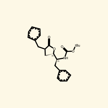 CC(C)(C)OC(=O)N[C@@H](Cc1ccccc1)[C@@H]1CC(Cc2ccccc2)C(=O)O1